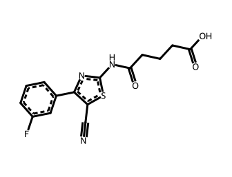 N#Cc1sc(NC(=O)CCCC(=O)O)nc1-c1cccc(F)c1